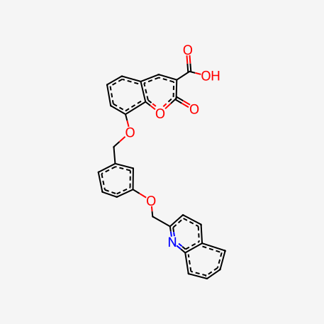 O=C(O)c1cc2cccc(OCc3cccc(OCc4ccc5ccccc5n4)c3)c2oc1=O